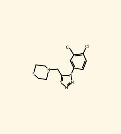 Clc1ccc(-n2nnnc2CN2CCSCC2)cc1Cl